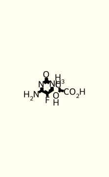 CC(O)C(=O)O.Nc1nc(=O)[nH]cc1F